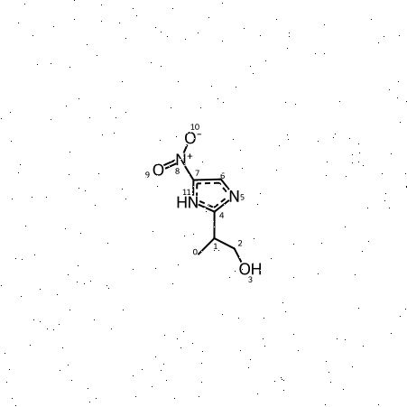 CC(CO)c1ncc([N+](=O)[O-])[nH]1